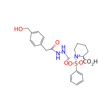 O=C(Cc1ccc(CO)cc1)NNC(=O)[N@+]1(S(=O)(=O)c2ccccc2)CCCC[C@H]1C(=O)O